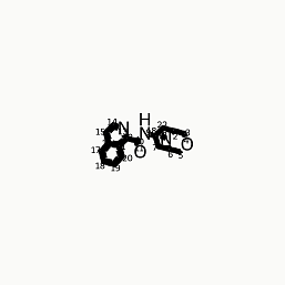 CN1C2COCC1CC(NC(=O)c1nccc3ccccc13)C2